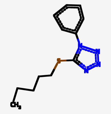 CCCCCSc1nnnn1-c1ccccc1